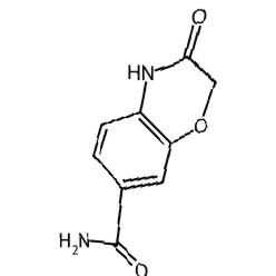 NC(=O)c1ccc2c(c1)OCC(=O)N2